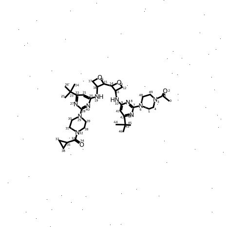 CC(=O)N1CCN(c2nc(NC3COC3C3OCC3Nc3cc(C(C)(C)C)nc(N4CCN(C(=O)C5CC5)CC4)n3)cc(C(C)(C)C)n2)CC1